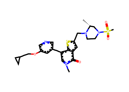 C[C@@H]1CN(S(C)(=O)=O)CCN1Cc1cc2c(=O)n(C)cc(-c3cncc(OCC4CC4)c3)c2s1